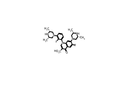 C[C@@H]1CN(c2cc3c(cc2F)c(=O)c(C(=O)O)cn3-c2cccc(N3C[C@@H](C)N[C@@H](C)C3)c2F)C[C@H](C)N1